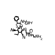 CCc1c(C#N)c(SC(C(N)=O)c2ccccc2)nc(N(C)CC(=O)NCCN)c1C#N.Cl